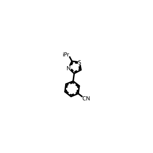 CC(C)c1nc(-c2cccc(C#N)c2)cs1